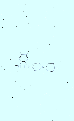 CO[C@H]1CC[C@@H](N2CCC(Nc3cc(C)c(F)cc3N=O)CC2)CC1